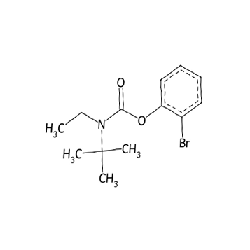 CCN(C(=O)Oc1ccccc1Br)C(C)(C)C